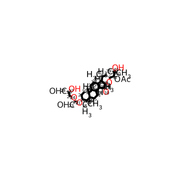 CC(=O)O[C@@H]([C@H]1C[C@@H](C)[C@@H]2[C@H](O1)C(=O)[C@@]1(C)[C@@H]3CC[C@H]4C(C)(C)[C@@H](O[C@@H](C=O)OC[C@@H](O)C=O)CC[C@@]45C[C@@]35CC[C@]21C)C(C)(C)O